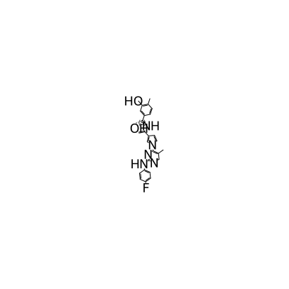 C=C(N[C@H](CO)c1ccc(C)c(O)c1)c1ccn(-c2nc(Nc3ccc(F)cc3)ncc2C)c1